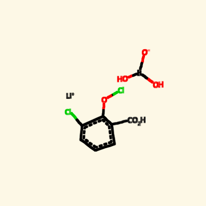 O=C(O)c1cccc(Cl)c1OCl.[Li+].[O-]B(O)O